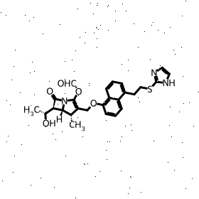 C[C@@H](O)[C@H]1C(=O)N2C(OC=O)=C(COc3cccc4c(CCSc5ncc[nH]5)cccc34)[C@H](C)[C@H]12